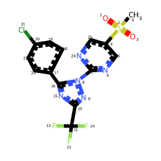 CS(=O)(=O)c1cnc(-n2nc(C(F)(F)F)nc2-c2ccc(Cl)cc2)nc1